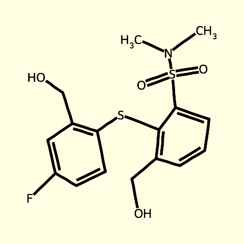 CN(C)S(=O)(=O)c1cccc(CO)c1Sc1ccc(F)cc1CO